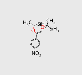 CC([SiH3])OC=C(OC(C)[SiH3])c1ccc([N+](=O)[O-])cc1